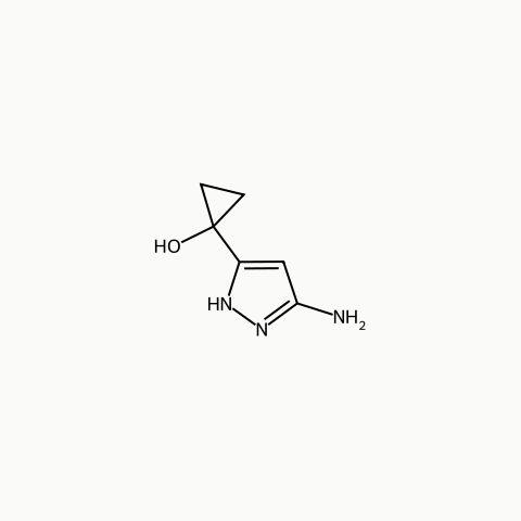 Nc1cc(C2(O)CC2)[nH]n1